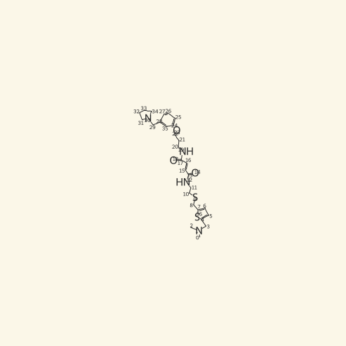 CN(C)Cc1ccc(CSCCNC(=O)C=CC(=O)NCCCOc2cccc(CN3CCCC3)c2)s1